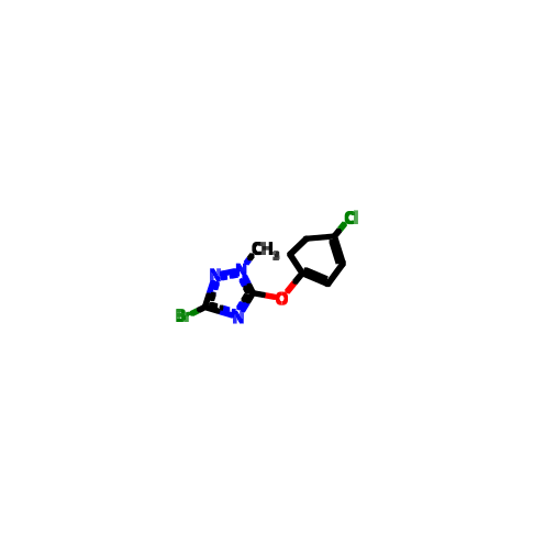 Cn1nc(Br)nc1OC1=CC=C(Cl)CC1